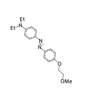 CCN(CC)c1ccc(/N=N/c2ccc(OCCOC)cc2)cc1